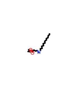 CCCCCCCCCCCCCCN(C)CCCC(=O)OC(C)(C)C